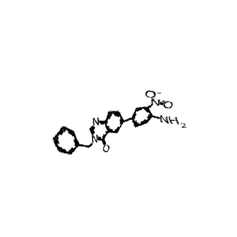 Nc1ccc(-c2ccc3ncn(Cc4ccccc4)c(=O)c3c2)cc1[N+](=O)[O-]